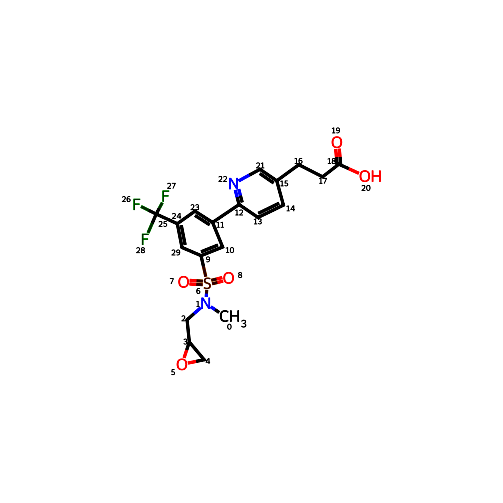 CN(CC1CO1)S(=O)(=O)c1cc(-c2ccc(CCC(=O)O)cn2)cc(C(F)(F)F)c1